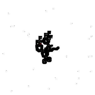 CCCCON1CC([N+](=O)[O-])CC[C@@]1(CO[C@H](C)c1cc(C(F)(F)F)cc(C(F)(F)F)c1)c1ccccc1